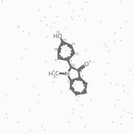 CN1c2ccccc2C(=O)C1c1ccc(O)cc1